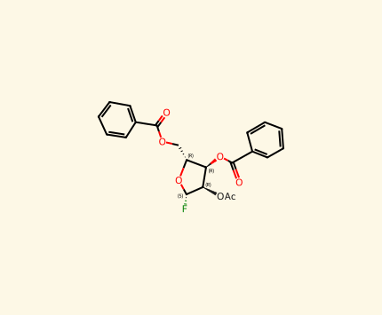 CC(=O)O[C@@H]1[C@H](OC(=O)c2ccccc2)[C@@H](COC(=O)c2ccccc2)O[C@H]1F